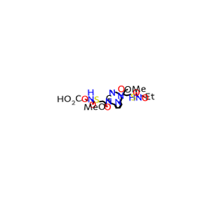 CCOCNC(=O)SCCC(C(=O)OC)N1CCN(C)CCN(C(CCSC(=O)NCOCC(=O)O)C(=O)OC)Cc2cccc(n2)C1